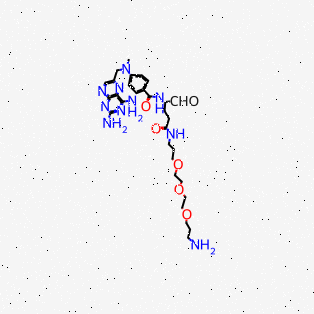 CN(Cc1cnc2nc(N)nc(N)c2n1)c1ccc(C(=O)NC(C=O)CCC(=O)NCCCOCCOCCOCCCN)cc1